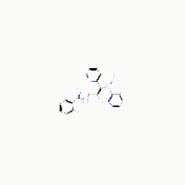 N/C(=C(/c1ccccn1)N(N)c1ccccc1F)c1nc(-c2ccccc2F)no1